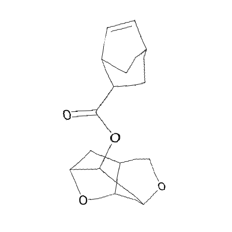 O=C(OC1C2CC3COC1C3O2)C1CC2C=CC1C2